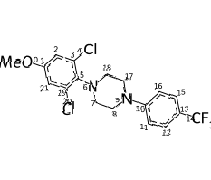 COc1cc(Cl)c(N2CCN(c3ccc(C(F)(F)F)cc3)CC2)c(Cl)c1